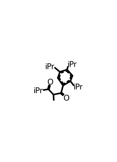 CC(C)C(=O)C(C)C(=O)c1cc(C(C)C)c(C(C)C)cc1C(C)C